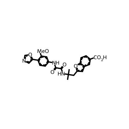 COc1cc(NC(=O)C(=O)NC(C)(C)Cc2cc3cc(C(=O)O)ccc3o2)ccc1-c1cnco1